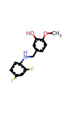 COc1ccc(CNc2ccc(F)cc2F)cc1O